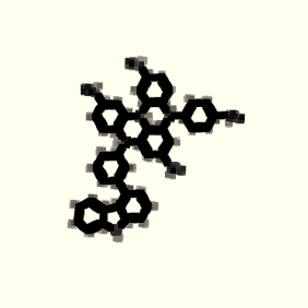 CC(C)(C)c1ccc(N2c3ccc(C(C)(C)C)cc3B3c4cc(C(C)(C)C)ccc4N(c4cccc(-c5cccc6oc7ccccc7c56)c4)c4cc(C(C)(C)C)cc2c43)cc1